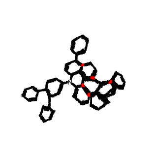 c1ccc(-c2ccc(N(c3ccc(-c4ccccc4)c(-c4ccccc4)c3)c3ccccc3-c3ccccc3-n3c4ccccc4c4ccccc43)c(-c3ccc4ccccc4c3)c2)cc1